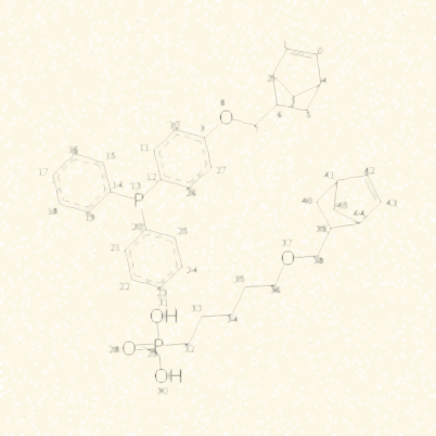 C1=CC2CC1CC2COc1ccc(P(c2ccccc2)c2ccccc2)cc1.O=P(O)(O)CCCCCOCC1CC2C=CC1C2